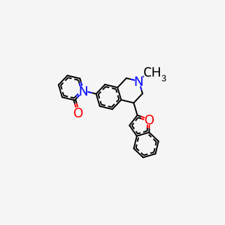 CN1Cc2cc(-n3ccccc3=O)ccc2C(c2cc3ccccc3o2)C1